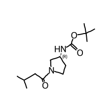 CC(C)CC(=O)N1CC[C@@H](NC(=O)OC(C)(C)C)C1